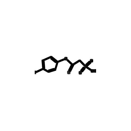 O=C(CS(=O)(=O)O)Oc1ccc(I)cc1